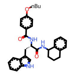 CCCCOc1ccc(C(=O)N[C@@H](Cc2c[nH]c3ccccc23)C(=O)NC2CCCc3ccccc32)cc1